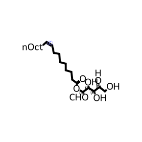 CCCCCCCC/C=C\CCCCCCCC(=O)O[C@@H](C=O)[C@@H](O)[C@H](O)[C@H](O)CO